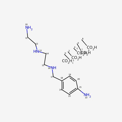 CC(=O)O.CC(=O)O.CC(=O)O.CC(=O)O.CC(=O)O.NCCNCCNCc1ccc(N)cc1